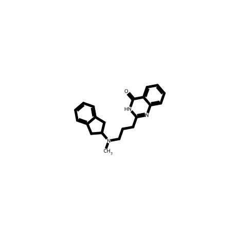 CN(CCCc1nc2ccccc2c(=O)[nH]1)C1Cc2ccccc2C1